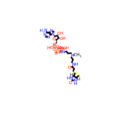 CN(CCCNC(=O)CC[C@@H]1SC[C@@H]2NC(=O)N[C@@H]21)CCCNP(=O)(O)OP(=O)(O)OP(=O)(O)OC[C@H]1O[C@@H](n2cnc3c(N)ncnc32)C(O)[C@H]1O